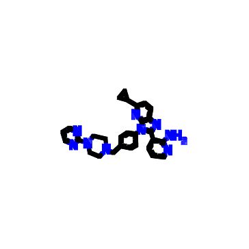 Nc1ncccc1-c1nc2ccc(C3CC3)nc2n1-c1ccc(CN2CCN(c3ncccn3)CC2)cc1